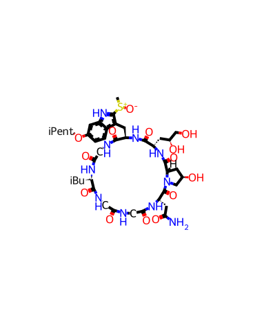 CCCC(C)Oc1ccc2c(C[C@H]3NC(=O)[C@H](C[C@@H](O)CO)NC(=O)[C@@H]4C[C@@H](O)CN4C(=O)[C@H](CC(N)=O)NC(=O)CNC(=O)CNC(=O)[C@H]([C@@H](C)CC)NC(=O)CNC3=O)c([S+](C)[O-])[nH]c2c1